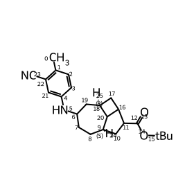 Cc1ccc(NC2CC[C@H]3CC(C(=O)OC(C)(C)C)C4C[C@H](C2)C43)cc1C#N